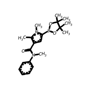 Cc1c(C(=O)N(C)c2ccccc2)cc(B2OC(C)(C)C(C)(C)O2)n1C